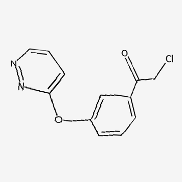 O=C(CCl)c1cccc(Oc2cccnn2)c1